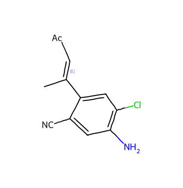 CC(=O)/C=C(\C)c1cc(Cl)c(N)cc1C#N